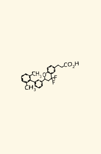 Cc1cccc(C)c1-c1cccc(C2CC(F)(F)c3cc(CCC(=O)O)ccc3O2)c1